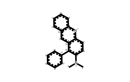 CN(C)c1ccc2nc3ccccc3cc2c1-c1ccccc1